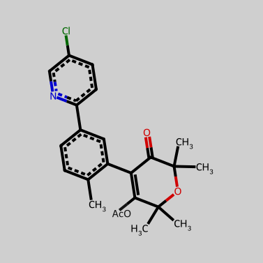 CC(=O)OC1=C(c2cc(-c3ccc(Cl)cn3)ccc2C)C(=O)C(C)(C)OC1(C)C